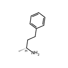 C[C@@H](N)CCc1ccccc1